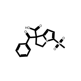 CS(=O)(=O)c1ccc2n1CCC2(C(=O)O)C(=O)c1ccccc1